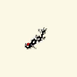 C=N/C(=C\C=C(/N)C(F)(F)F)c1ccn(-c2ccc3c4c(n(C)c3c2)C2CCN(CC2)C4)c(=O)c1